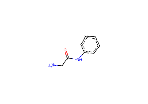 NCC(=O)Nc1c[c]ccc1